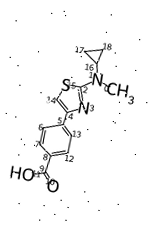 CN(c1nc(-c2ccc(C(=O)O)cc2)cs1)C1CC1